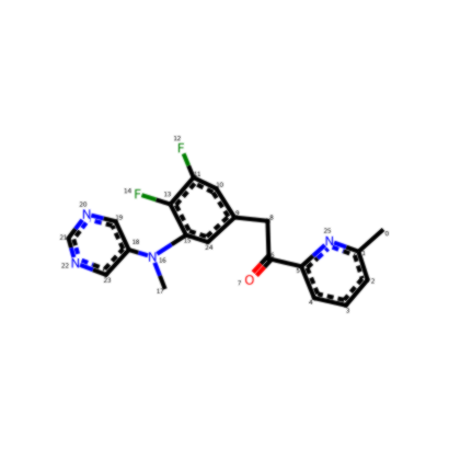 Cc1cccc(C(=O)Cc2cc(F)c(F)c(N(C)c3cncnc3)c2)n1